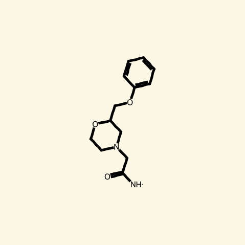 [NH]C(=O)CN1CCOC(COc2ccccc2)C1